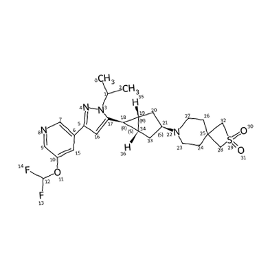 CC(C)n1nc(-c2cncc(OC(F)F)c2)cc1[C@H]1[C@@H]2C[C@@H](N3CCC4(CC3)CS(=O)(=O)C4)C[C@@H]21